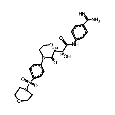 N=C(N)c1ccc(NC(=O)[C@H](O)[C@H]2OCCN(c3ccc(S(=O)(=O)N4CCOCC4)cc3)C2=O)cc1